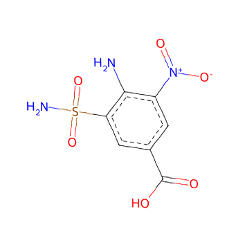 Nc1c([N+](=O)[O-])cc(C(=O)O)cc1S(N)(=O)=O